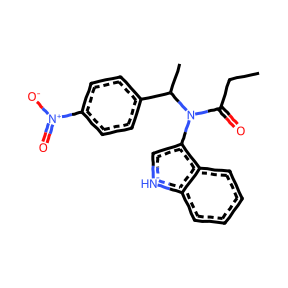 CCC(=O)N(c1c[nH]c2ccccc12)C(C)c1ccc([N+](=O)[O-])cc1